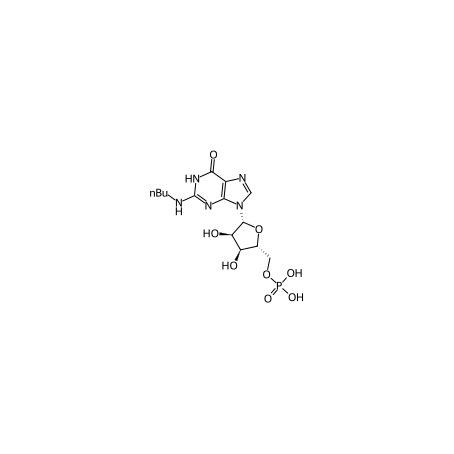 CCCCNc1nc2c(ncn2[C@@H]2O[C@H](COP(=O)(O)O)[C@@H](O)[C@H]2O)c(=O)[nH]1